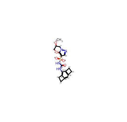 COC1COc2c(S(=O)(=O)NC(=O)Nc3c4c(cc5c3CC5)CC4)cnn2C1